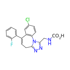 O=C(O)NCc1nnc2n1-c1ccc(Cl)cc1C(c1ccccc1F)=CC2